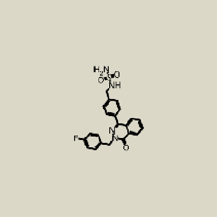 NS(=O)(=O)NCc1ccc(-c2nn(Cc3ccc(F)cc3)c(=O)c3ccccc23)cc1